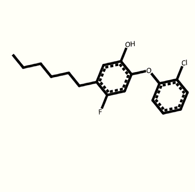 CCCCCCc1cc(O)c(Oc2ccccc2Cl)cc1F